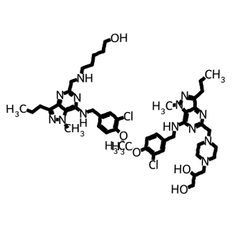 CCCc1nn(C)c2c(NCc3ccc(OC)c(Cl)c3)nc(CN3CCN(CC(O)CO)CC3)nc12.CCCc1nn(C)c2c(NCc3ccc(OC)c(Cl)c3)nc(CNCCCCCO)nc12